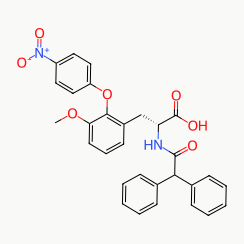 COc1cccc(C[C@@H](NC(=O)C(c2ccccc2)c2ccccc2)C(=O)O)c1Oc1ccc([N+](=O)[O-])cc1